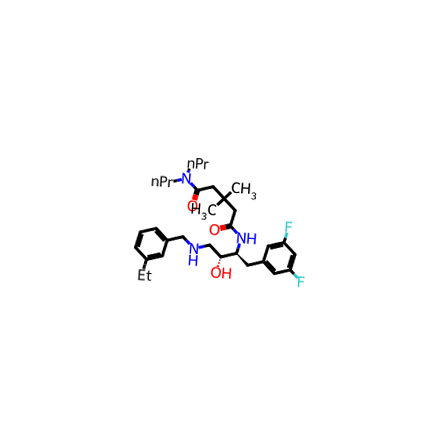 CCCN(CCC)C(=O)CC(C)(C)CC(=O)N[C@@H](Cc1cc(F)cc(F)c1)[C@H](O)CNCc1cccc(CC)c1